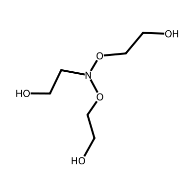 OCCON(CCO)OCCO